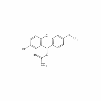 N=C(OC(c1ccc(OC(F)(F)F)cc1)c1cc(Br)ccc1Cl)C(Cl)(Cl)Cl